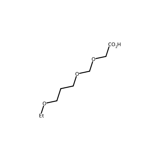 CCOCCCOCOCC(=O)O